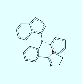 c1ccc([P@](c2ccccc2C2=NCCO2)c2cccc3ccccc23)cc1